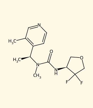 Cc1cnccc1[C@H](C)N(C)C(=O)N[C@H]1COCC1(F)F